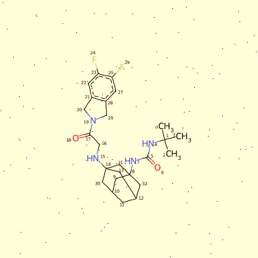 CC(C)(C)NC(=O)NC12CC3CC(CC(NCC(=O)N4Cc5cc(F)c(F)cc5C4)(C3)C1)C2